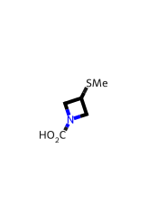 CSC1CN(C(=O)O)C1